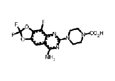 Nc1nc(N2CCN(C(=O)O)CC2)nc2c(F)c3c(cc12)OC(F)(F)O3